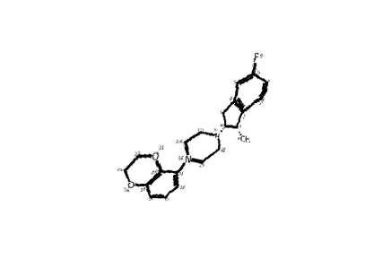 O[C@H]1c2ccc(F)cc2C[C@H]1N1CCN(c2cccc3c2OCCO3)CC1